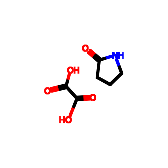 O=C(O)C(=O)O.O=C1CCCN1